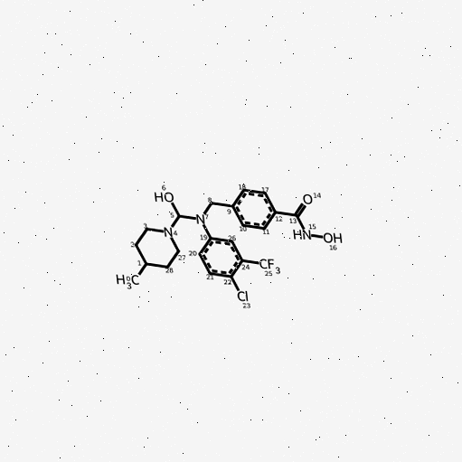 CC1CCN(C(O)N(Cc2ccc(C(=O)NO)cc2)c2ccc(Cl)c(C(F)(F)F)c2)CC1